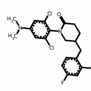 CN(C)c1cc(Cl)c(N2CC(Cc3ccc(F)cc3F)CCC2=O)c(Cl)c1